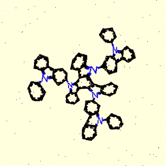 c1ccc(-n2c3ccccc3c3ccc(-n4c5ccccc5c5c4c4c6ccccc6n(-c6ccc7c8ccccc8n(-c8ccccc8)c7c6)c4c4c6ccccc6n(-c6ccc7c8ccccc8n(-c8ccccc8)c7c6)c54)cc32)cc1